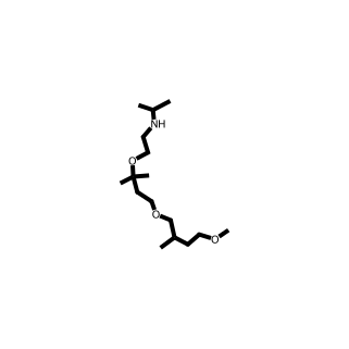 COCCC(C)COCCC(C)(C)OCCNC(C)C